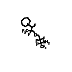 N[C@](F)(C(F)(F)F)C(F)(F)COCC(F)(C(F)N1CCCCCC1)C(F)(F)F